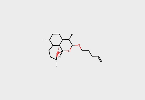 C=CCCCOC1O[C@@H]2O[C@]3(C)CCC4[C@H](C)CCC([C@H]1C)[C@]42OO3